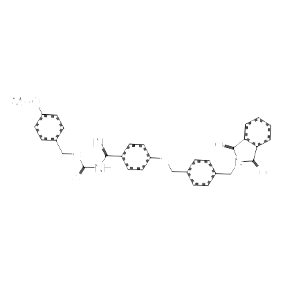 COc1ccc(COC(=O)NC(=N)c2ccc(OCc3ccc(CN4C(=O)c5ccccc5C4=O)cc3)cc2)cc1